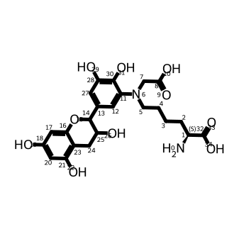 N[C@@H](CCCCN(CC(=O)O)c1cc(C2Oc3cc(O)cc(O)c3CC2O)cc(O)c1O)C(=O)O